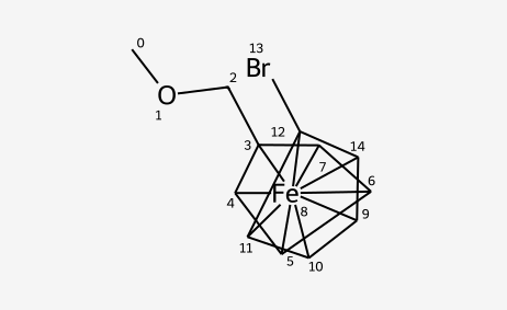 COC[C]12[CH]3[CH]4[CH]5[CH]1[Fe]45321678[CH]2[CH]1[CH]6[C]7(Br)[CH]28